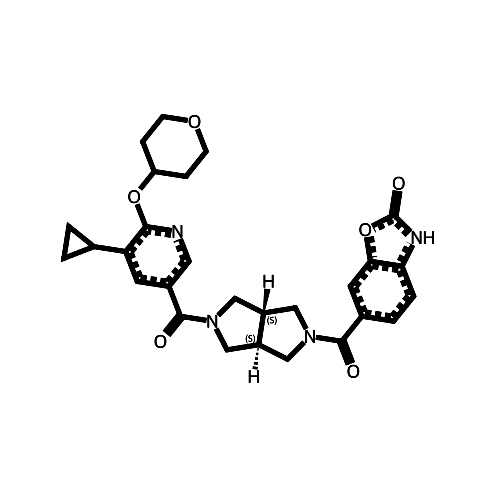 O=C(c1cnc(OC2CCOCC2)c(C2CC2)c1)N1C[C@@H]2CN(C(=O)c3ccc4[nH]c(=O)oc4c3)C[C@H]2C1